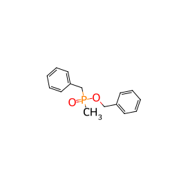 CP(=O)(Cc1ccccc1)OCc1ccccc1